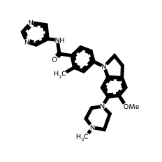 COc1cc2c(cc1N1CCN(C)CC1)N(c1ccc(C(=O)Nc3cncnc3)c(C)c1)CC2